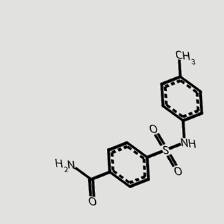 Cc1ccc(NS(=O)(=O)c2ccc(C(N)=O)cc2)cc1